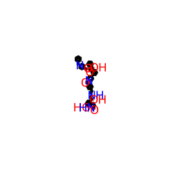 O=C(c1ccc(CCNCC(O)c2ccc(O)c3[nH]c(=O)ccc23)cc1)N1CCC(c2cccc(C(O)(C(=O)OCC3CCN(Cc4ccccc4)CC3)c3ccccc3)c2)CC1